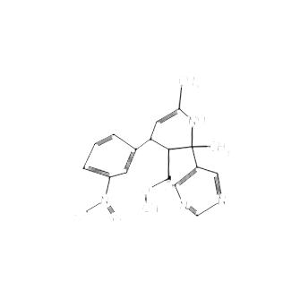 COC(=O)C1C(c2cccc([N+](=O)[O-])c2)C=C(C)NC1(C)c1cncnc1